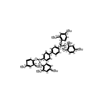 CC(C)(C)c1ccc(OP(Oc2ccc(C(C)(C)C)cc2C(C)(C)C)c2ccc(-c3ccc([PH](O)(Oc4ccc(C(C)(C)C)cc4C(C)(C)C)Oc4ccc(C(C)(C)C)cc4C(C)(C)C)cc3)cc2)c(C(C)(C)C)c1